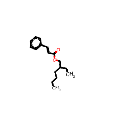 CCCCC(CC)COC(=O)C=Cc1c[c]ccc1